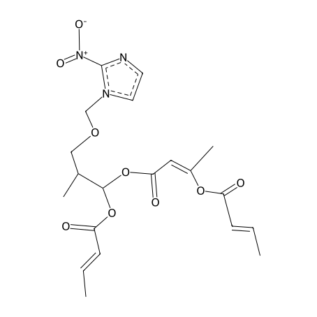 C/C=C/C(=O)O/C(C)=C\C(=O)OC(OC(=O)/C=C/C)C(C)COCn1ccnc1[N+](=O)[O-]